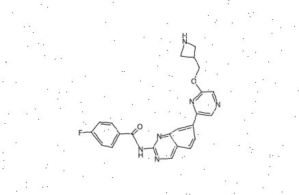 O=C(Nc1ncc2ccc(-c3cncc(OCC4CNC4)n3)cc2n1)c1ccc(F)cc1